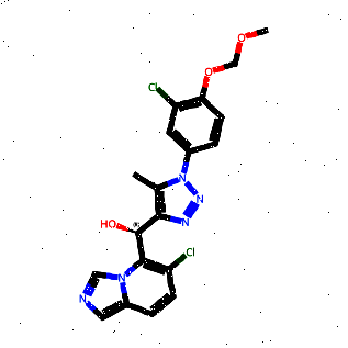 COCOc1ccc(-n2nnc([C@H](O)c3c(Cl)ccc4cncn34)c2C)cc1Cl